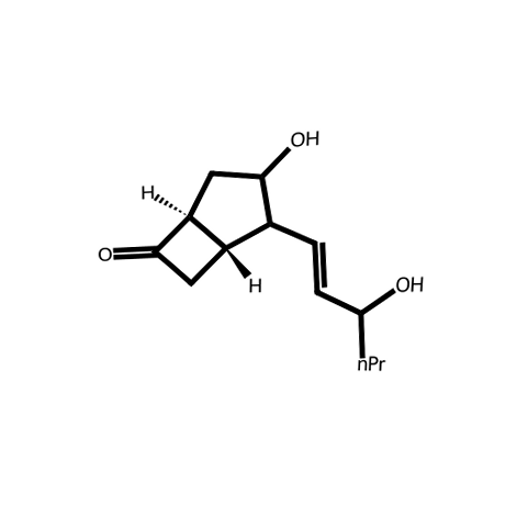 CCCC(O)C=CC1C(O)C[C@@H]2C(=O)C[C@@H]12